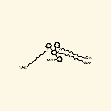 CCCCCCCCCCCCCCCCCCCCOc1ccccc1-c1[c]cc(-c2ccccc2OC)c(OCCCCCCCCCCCCCCCCCCCC)c1-c1ccccc1OCCCCCCCCCCCCCCCCCCCC